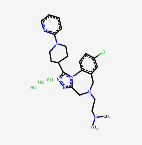 CN(C)CCN1Cc2cc(Cl)ccc2-n2c(nnc2C2CCN(c3ccccn3)CC2)C1.Cl.Cl.Cl